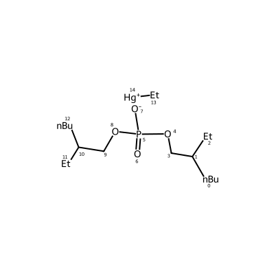 CCCCC(CC)COP(=O)([O-])OCC(CC)CCCC.C[CH2][Hg+]